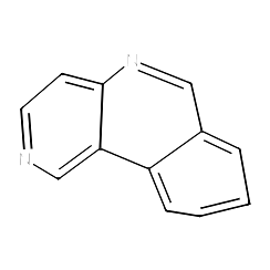 [c]1nc2ccncc2c2ccccc12